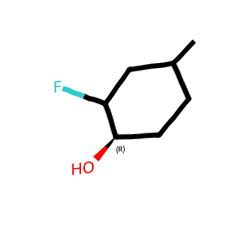 CC1CC[C@@H](O)C(F)C1